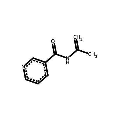 C=C(C)NC(=O)c1cccnc1